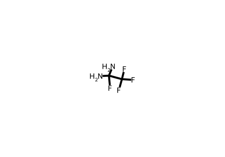 NC(N)(F)C(F)(F)F